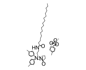 CCCCCCCCCCCCCCCCCC(=O)NCCC[N+](CN1CCCC1=O)(c1ccc(C)cc1)c1ccc(C)cc1.Cc1ccc(S(=O)(=O)[O-])cc1